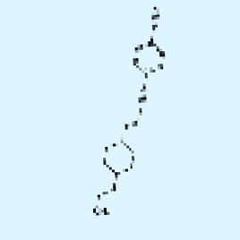 CCC[C@H]1CC[C@H](C=CC#Cc2ccc(C#N)cc2)CC1